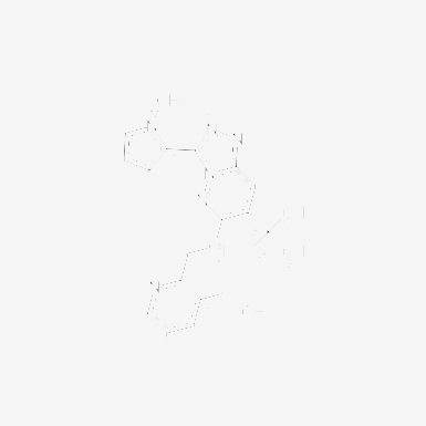 COc1cccnc1COc1nn2c(-c3cccn3C)nnc2cc1C(C)(C)C